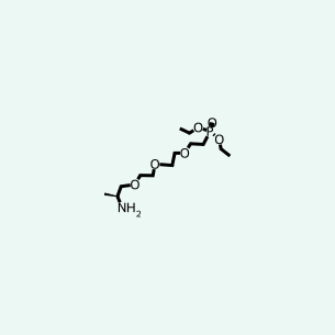 CCOP(=O)(CCOCCOCCOC[C@H](C)N)OCC